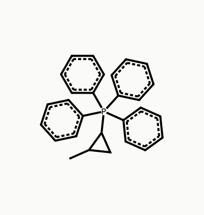 CC1CC1P(c1ccccc1)(c1ccccc1)(c1ccccc1)c1ccccc1